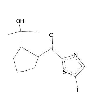 CC(C)(O)C1CCCC1C(=O)c1ncc(I)s1